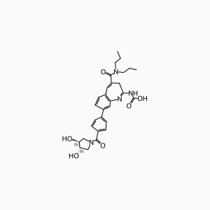 CCCN(CCC)C(=O)C1=Cc2ccc(-c3ccc(C(=O)N4C[C@H](O)[C@@H](O)C4)cc3)cc2N=C(NC(=O)O)C1